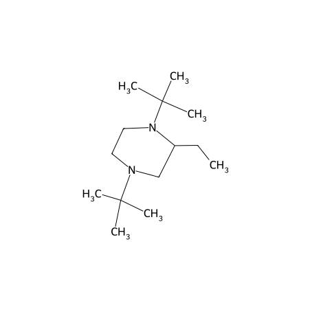 CCC1CN(C(C)(C)C)CCN1C(C)(C)C